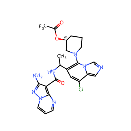 CC(NC(=O)c1c(N)nn2cccnc12)c1cc(Cl)c2cncn2c1N1CCC[C@H](OC(=O)C(F)(F)F)C1